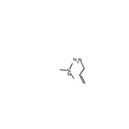 C=CCN.C[SiH](C)C